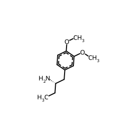 CC[C@H](N)Cc1ccc(OC)c(OC)c1